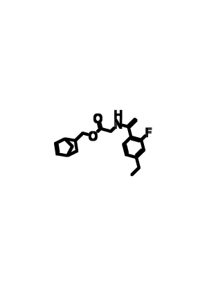 C=C(NCC(=O)OCC1CC2C=CC1C2)c1ccc(CC)cc1F